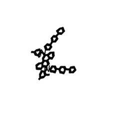 Cc1ccc(N(c2ccc(-c3ccc(-c4ccccc4)cc3)cc2)c2cc3c4ccccc4c(N(c4ccc(-c5ccc(-c6ccccc6)cc5)cc4)c4ccc(C)cc4C)cc3c3ccccc23)c(C)c1